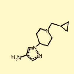 Nc1cnn(C2CCN(CC3CC3)CC2)c1